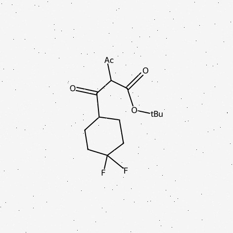 CC(=O)C(C(=O)OC(C)(C)C)C(=O)C1CCC(F)(F)CC1